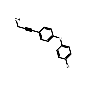 OCC#Cc1ccc(Oc2ccc(Br)cc2)cc1